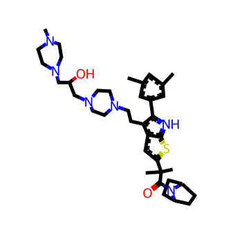 Cc1cc(C)cc(-c2[nH]c3sc(C(C)(C)C(=O)N4C5CCC4CC5)cc3c2CCN2CCN(CC(O)CN3CCN(C)CC3)CC2)c1